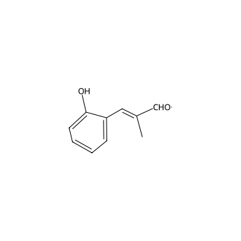 C/C([C]=O)=C\c1ccccc1O